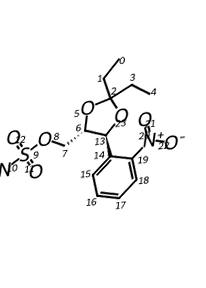 CCC1(CC)O[C@@H](COS(N)(=O)=O)[C@H](c2ccccc2[N+](=O)[O-])O1